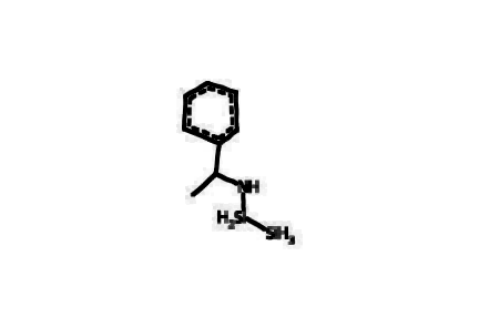 CC(N[SiH2][SiH3])c1ccccc1